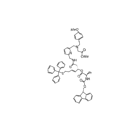 COC(=O)CN(Cc1ccc(OC)cc1)Cc1cccc(CNC(=O)C[C@@H](C=CCCSC(c2ccccc2)(c2ccccc2)c2ccccc2)OC(=O)[C@H](NC(=O)OCC2c3ccccc3-c3ccccc32)C(C)C)n1